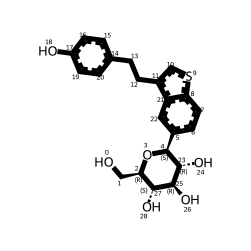 OC[C@H]1O[C@@H](c2ccc3scc(CCc4ccc(O)cc4)c3c2)[C@H](O)[C@@H](O)[C@@H]1O